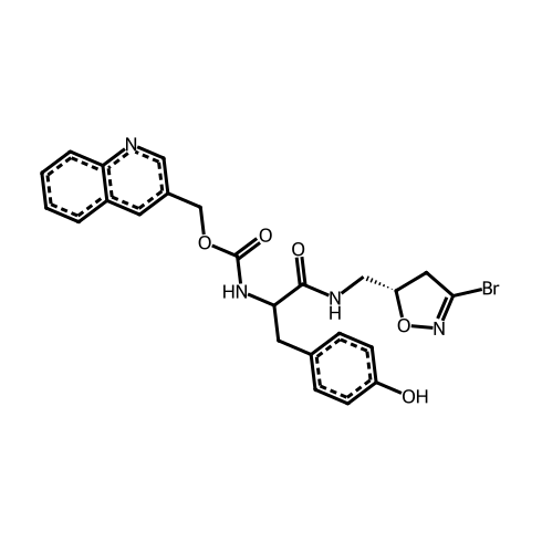 O=C(NC(Cc1ccc(O)cc1)C(=O)NC[C@@H]1CC(Br)=NO1)OCc1cnc2ccccc2c1